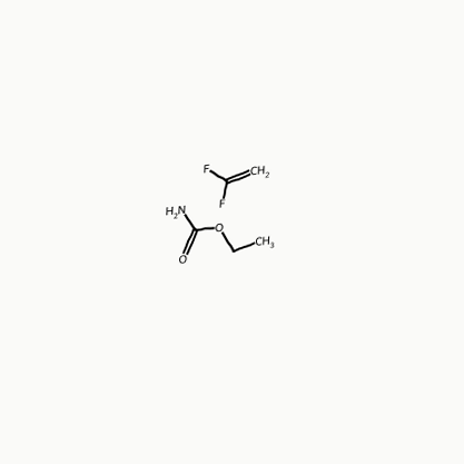 C=C(F)F.CCOC(N)=O